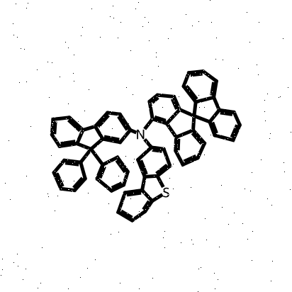 c1ccc(C2(c3ccccc3)c3ccccc3-c3ccc(N(c4ccc5sc6ccccc6c5c4)c4cccc5c4-c4ccccc4C54c5ccccc5-c5ccccc54)cc32)cc1